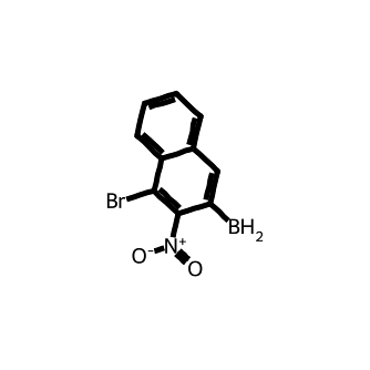 Bc1cc2ccccc2c(Br)c1[N+](=O)[O-]